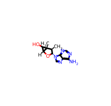 C[C@H]1[C@H](n2cnc3c(N)ncnc32)O[C@@H]2C(O)[C@@]21C